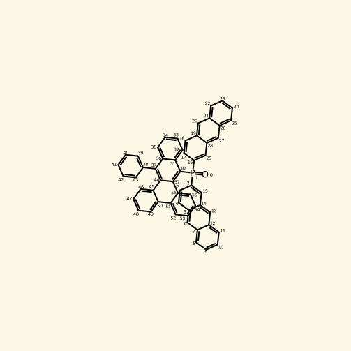 O=P(c1ccc2cc3ccccc3cc2c1)(c1ccc2cc3ccccc3cc2c1)c1c2ccccc2c(-c2ccccc2)c2c3ccccc3c3ccccc3c12